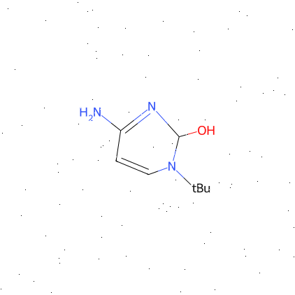 CC(C)(C)N1C=CC(N)=NC1O